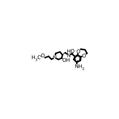 COCCCN1CC[C@@H](CNC(=O)c2cc(N)cc3c2OCCCO3)C(O)C1